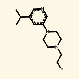 CC(C)c1cncc(N2CCN(CCF)CC2)c1